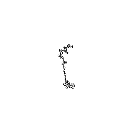 O=C(CCOCCOCCOCCOCCNc1cccc2c1C(=O)N(C1CCC(=O)NC1O)C2=O)NCCN1CCN(C(=O)c2ccc(Nc3nc(C4CC4)cn4c(-c5cn[nH]c5)cnc34)c(F)c2)CC1